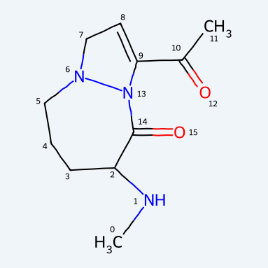 CNC1CCCN2CC=C(C(C)=O)N2C1=O